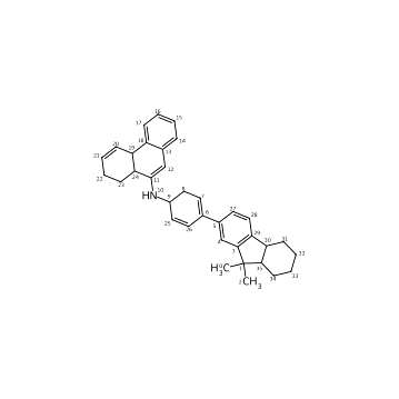 CC1(C)c2cc(C3=CCC(NC4=Cc5ccccc5C5C=CCCC45)C=C3)ccc2C2CCCCC21